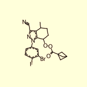 CC1CCC(OOC(=O)C23CC(C2)C3)c2c1c(C#N)nn2-c1ccc(F)c(Br)c1